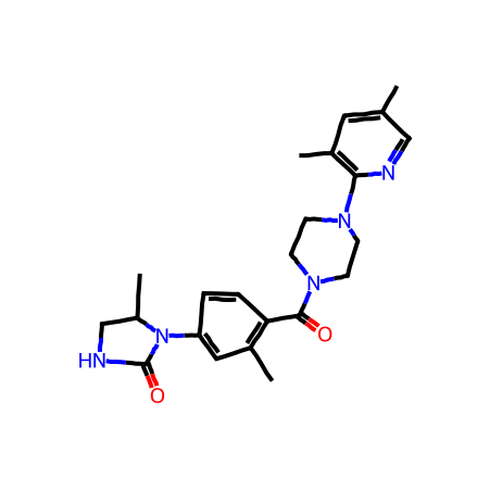 Cc1cnc(N2CCN(C(=O)c3ccc(N4C(=O)NCC4C)cc3C)CC2)c(C)c1